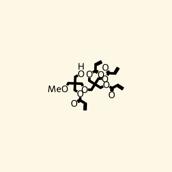 C=CC(=O)OCC(CO)(COC)COCC(COC(=O)C=C)(COC(=O)C=C)COC(=O)C=C